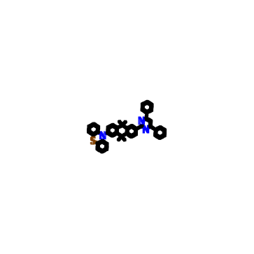 CC1(C)c2ccc(N3c4ccccc4Sc4ccccc43)cc2C(C)(C)c2ccc(-c3nc(-c4ccccc4)cc(-c4ccccc4)n3)cc21